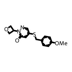 COc1ccc(CSc2cnn(C3COC3)c(=O)c2)cc1